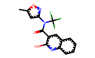 Cc1cc(N(C(=O)c2cc3ccccc3nc2O)C(F)(F)F)no1